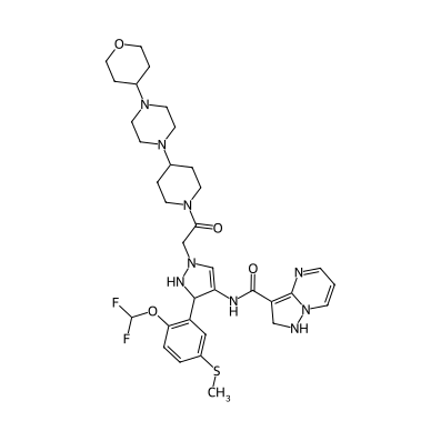 CSc1ccc(OC(F)F)c(C2NN(CC(=O)N3CCC(N4CCN(C5CCOCC5)CC4)CC3)C=C2NC(=O)C2=C3N=CC=CN3NC2)c1